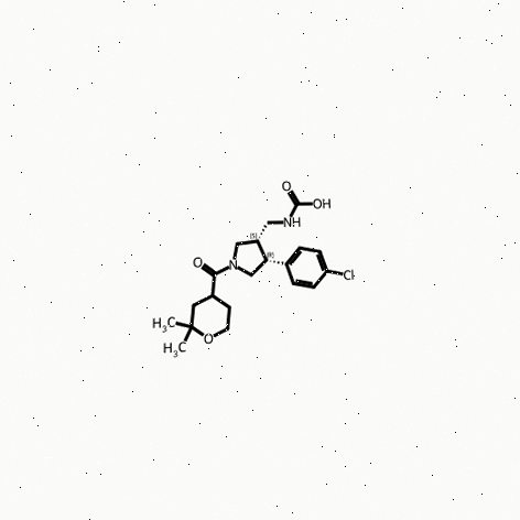 CC1(C)CC(C(=O)N2C[C@H](CNC(=O)O)[C@H](c3ccc(Cl)cc3)C2)CCO1